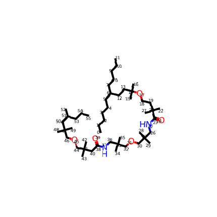 CCCCCCC(CCCCC)CCC(C)(C)OCCC(C)(C)C(=O)NCC(C)(C)COCC(C)(C)CNC(=O)CC(C)(C)COCC(C)(C)CC(C)CCC